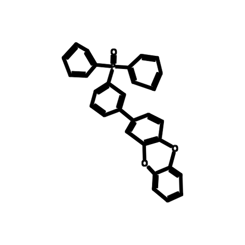 O=P(c1ccccc1)(c1ccccc1)c1cccc(-c2ccc3c(c2)Oc2ccccc2O3)c1